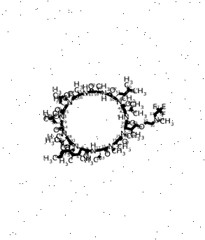 C/C=C/C[C@@H](C)[C@@H](O)[C@H]1C(=O)N[C@@H](CC)C(=O)N(C)[C@H](C)C(=O)N(C)[C@@H]([C@H](C)COCCN(C)CC(F)(F)F)C(=O)N[C@@H](C(C)C)C(=O)N(C)[C@@H](CCC(C)C)C(=O)N[C@@H](C)C(=O)N[C@H](C)C(=O)N(C)[C@@H](CC(C)C)C(=O)N(C)[C@@H](CC(C)C)C(=O)N(C)[C@@H](C(C)C)C(=O)N1C